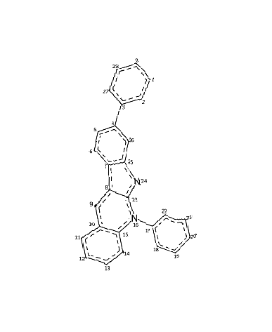 c1ccc(-c2ccc3c4cc5ccccc5n(-c5ccccc5)c-4nc3c2)cc1